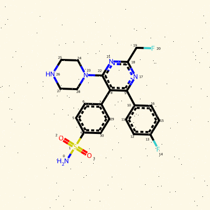 NS(=O)(=O)c1ccc(-c2c(-c3ccc(F)cc3)nc(CF)nc2N2CCNCC2)cc1